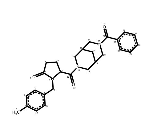 Cc1ccc(CN2C(=O)CCC2C(=O)N2CC3CC(CN(C(=O)c4ccccc4)C3)C2)cc1